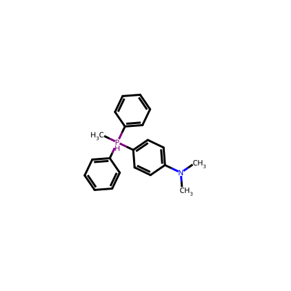 CN(C)c1ccc([PH](C)(c2ccccc2)c2ccccc2)cc1